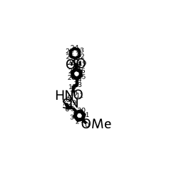 COc1ccc(-c2csc(NC(=O)C=Cc3ccc(S(=O)(=O)C4CCCCC4)cc3)n2)cc1